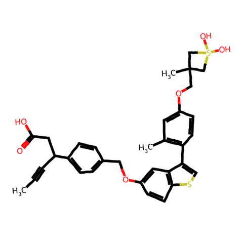 CC#CC(CC(=O)O)c1ccc(COc2ccc3scc(-c4ccc(OCC5(C)CS(O)(O)C5)cc4C)c3c2)cc1